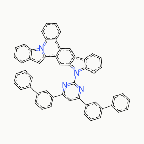 c1ccc(-c2cccc(-c3cc(-c4cccc(-c5ccccc5)c4)nc(-n4c5ccccc5c5cc6c7ccccc7n7c8ccccc8cc7c6cc54)n3)c2)cc1